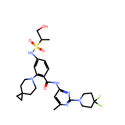 Cc1cc(NC(=O)c2ccc(NS(=O)(=O)C(C)CO)cc2N2CCC3(CC2)CC3)nc(N2CCC(F)(F)CC2)n1